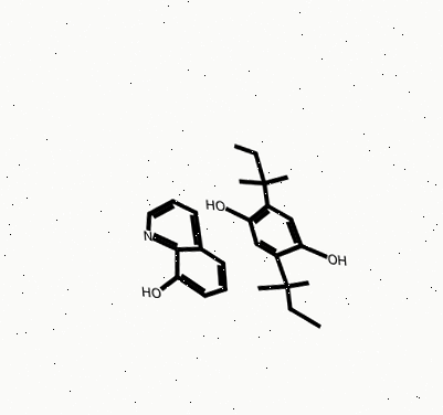 CCC(C)(C)c1cc(O)c(C(C)(C)CC)cc1O.Oc1cccc2cccnc12